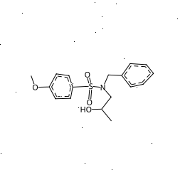 COc1ccc(S(=O)(=O)N(Cc2ccccc2)CC(C)O)cc1